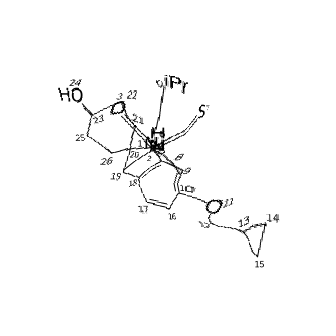 CC(C)N1C(=O)C2(NC1=S)c1cc(OCC3CC3)ccc1CC21CCC(O)CC1